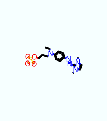 CCN(CCCOS(=O)(=O)[O-])c1ccc(N=Nc2n(C)cc[n+]2C)cc1